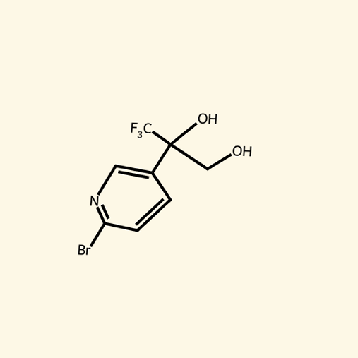 OCC(O)(c1ccc(Br)nc1)C(F)(F)F